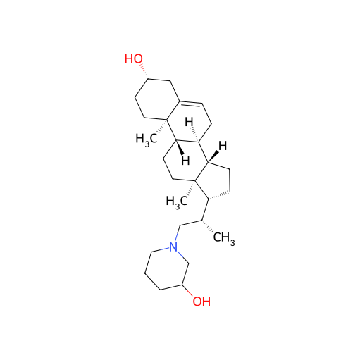 C[C@H](CN1CCCC(O)C1)[C@H]1CC[C@H]2[C@@H]3CC=C4C[C@@H](O)CC[C@]4(C)[C@H]3CC[C@]12C